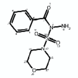 NN(C(=O)c1ccccc1)S(=O)(=O)N1CCOCC1